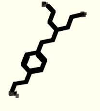 CCCc1ccc(CCC(CCBr)CCBr)cc1